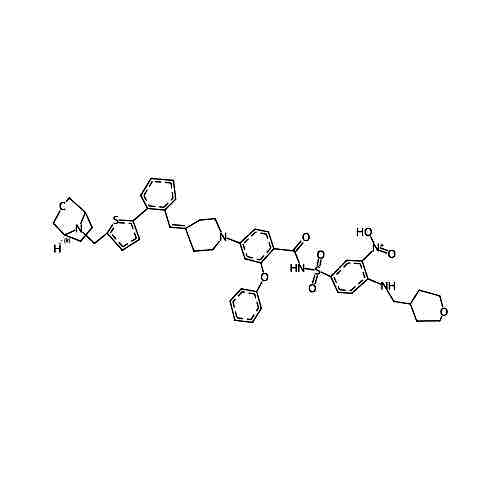 O=C(NS(=O)(=O)c1ccc(NCC2CCOCC2)c([N+](=O)O)c1)c1ccc(N2CCC(=Cc3ccccc3-c3ccc(CN4C5CCC[C@@H]4CC5)s3)CC2)cc1Oc1ccccc1